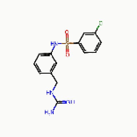 N=C(N)NCc1cccc(NS(=O)(=O)c2cccc(Cl)c2)c1